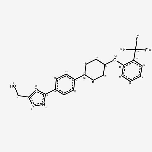 OCc1nnc(-c2ccc(N3CCC(Oc4ccccc4C(F)(F)F)CC3)cc2)o1